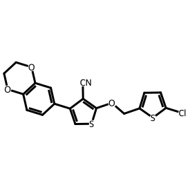 N#Cc1c(-c2ccc3c(c2)OCCO3)csc1OCc1ccc(Cl)s1